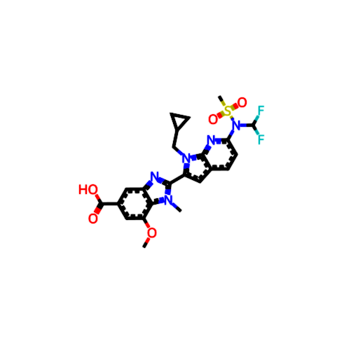 COc1cc(C(=O)O)cc2nc(-c3cc4ccc(N(C(F)F)S(C)(=O)=O)nc4n3CC3CC3)n(C)c12